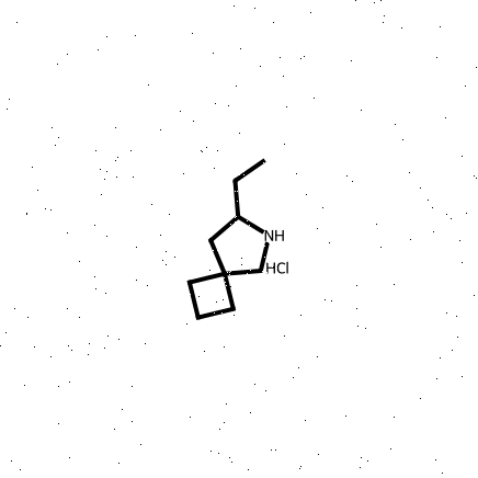 CCC1CC2(CCC2)CN1.Cl